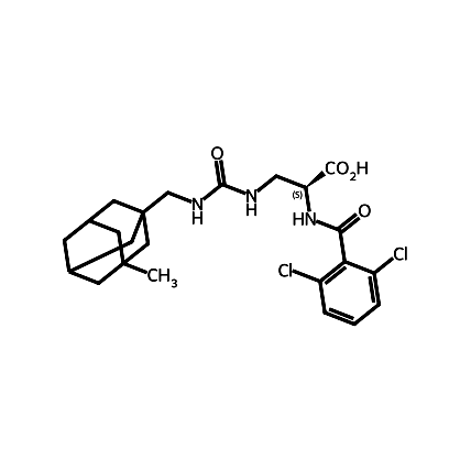 CC12CC3CC(C1)CC(CNC(=O)NC[C@H](NC(=O)c1c(Cl)cccc1Cl)C(=O)O)(C3)C2